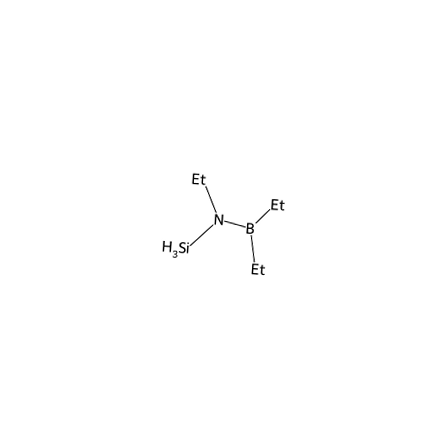 CCB(CC)N([SiH3])CC